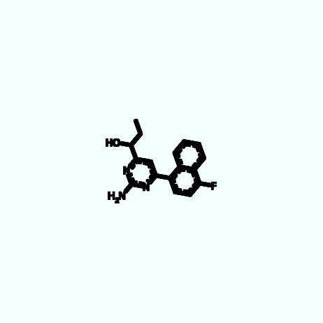 CCC(O)c1cc(-c2ccc(F)c3ccccc23)nc(N)n1